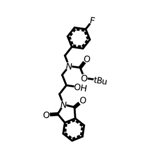 CC(C)(C)OC(=O)N(Cc1ccc(F)cc1)CC(O)CN1C(=O)c2ccccc2C1=O